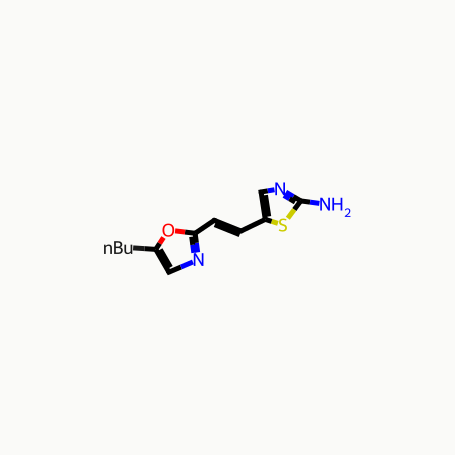 CCCCc1cnc(/C=C/c2cnc(N)s2)o1